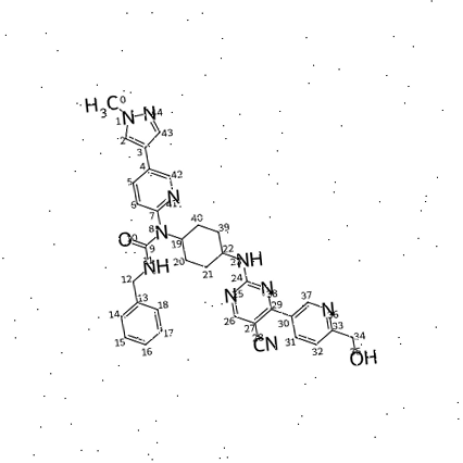 Cn1cc(-c2ccc(N(C(=O)NCc3ccccc3)C3CCC(Nc4ncc(C#N)c(-c5ccc(CO)nc5)n4)CC3)nc2)cn1